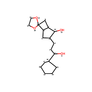 OC(CCC1CC2C(CC23OCCO3)C1O)C1CCCCC1